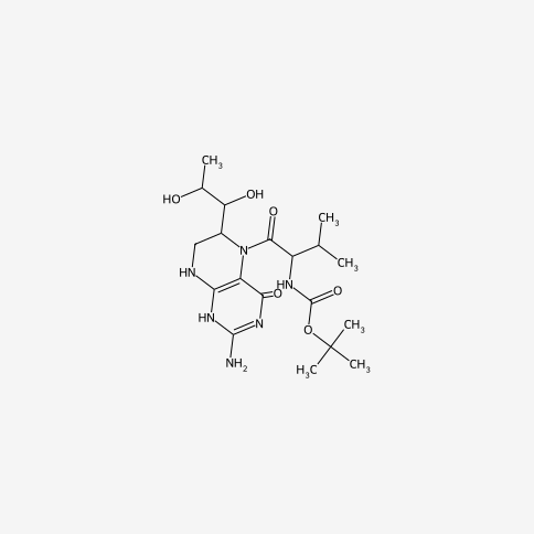 CC(C)C(NC(=O)OC(C)(C)C)C(=O)N1c2c([nH]c(N)nc2=O)NCC1C(O)C(C)O